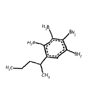 Bc1cc(C(C)CCC)c(B)c(B)c1B